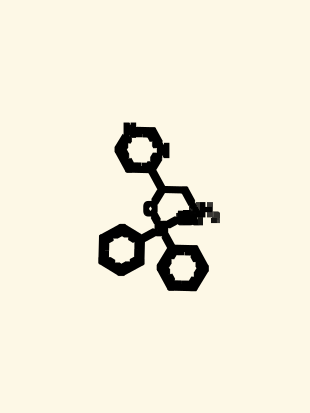 CC(C)(C)[Si](OC(CN)c1ccncn1)(c1ccccc1)c1ccccc1